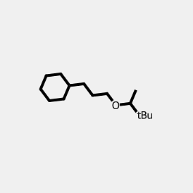 CC(OCCCC1CCCCC1)C(C)(C)C